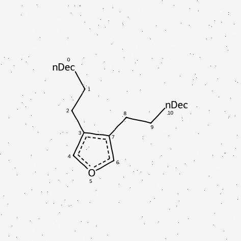 CCCCCCCCCCCCc1cocc1CCCCCCCCCCCC